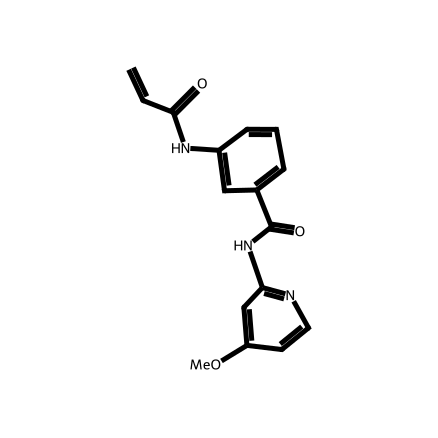 C=CC(=O)Nc1cccc(C(=O)Nc2cc(OC)ccn2)c1